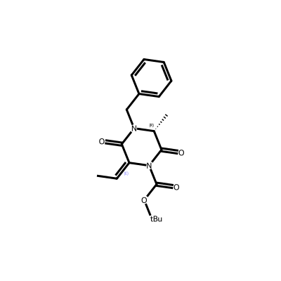 C/C=C1\C(=O)N(Cc2ccccc2)[C@H](C)C(=O)N1C(=O)OC(C)(C)C